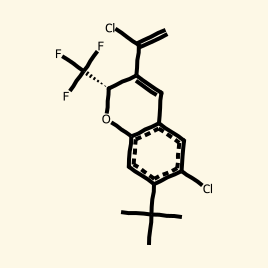 C=C(Cl)C1=Cc2cc(Cl)c(C(C)(C)C)cc2O[C@@H]1C(F)(F)F